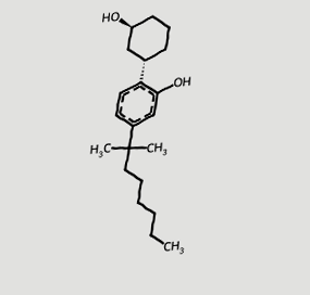 CCCCCCC(C)(C)c1ccc([C@H]2CCC[C@H](O)C2)c(O)c1